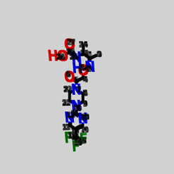 CC(=NOCC(=O)N1CCN(c2ncc(C(F)(F)F)cn2)CC1)C(C)NC(=O)O